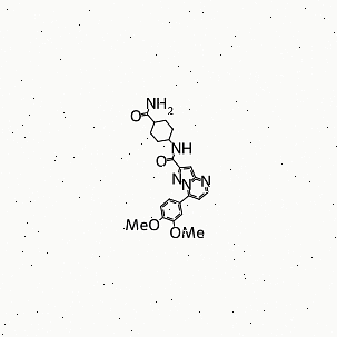 COc1ccc(-c2ccnc3cc(C(=O)NC4CCC(C(N)=O)CC4)nn23)cc1OC